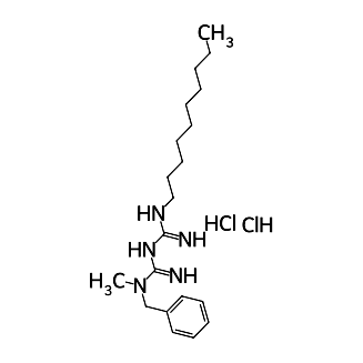 CCCCCCCCCCNC(=N)NC(=N)N(C)Cc1ccccc1.Cl.Cl